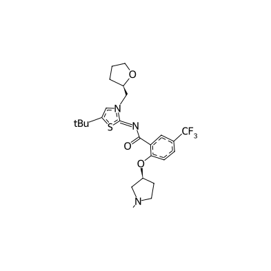 CN1CC[C@H](Oc2ccc(C(F)(F)F)cc2C(=O)/N=c2\sc(C(C)(C)C)cn2C[C@H]2CCCO2)C1